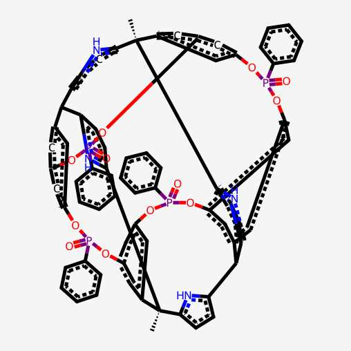 C[C@]12c3cc4cc(c3)OP(=O)(c3ccccc3)Oc3cc5cc(c3)C(c3ccc1[nH]3)c1ccc([nH]1)[C@@]1(C)c3cc(cc(c3)OP(=O)(c3ccccc3)O5)OP(=O)(c3ccccc3)Oc3cc(cc(c3)C(c3ccc1[nH]3)c1ccc2[nH]1)OP(=O)(c1ccccc1)O4